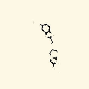 O=[N+]([O-])c1cn2c(n1)OC[C@@H](OCc1nc3ccc(C(F)(F)F)cc3[nH]1)C2